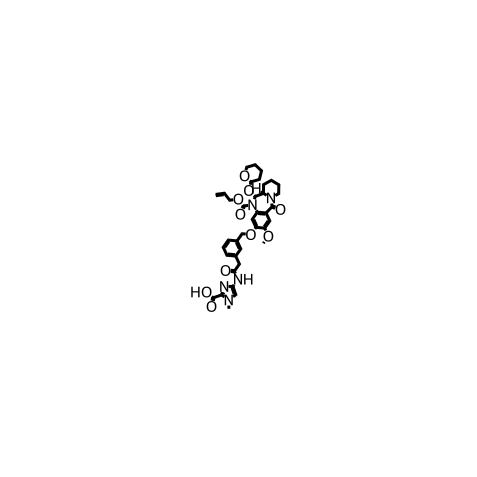 C=CCOC(=O)N1c2cc(OCc3cccc(CC(=O)Nc4cn(C)c(C(=O)O)n4)c3)c(OC)cc2C(=O)N2CCCC[C@H]2C1OC1CCCCO1